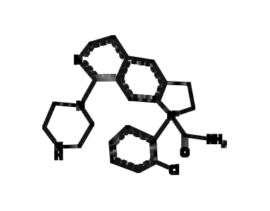 NC(=O)[N+]1(c2ccccc2Cl)CCc2cc3ccnc(N4CCNCC4)c3cc21